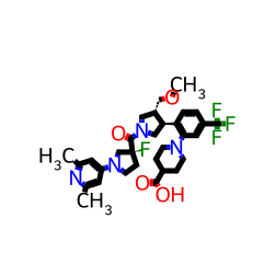 COC[C@H]1CN(C(=O)[C@@]2(F)CCN(c3cc(C)nc(C)c3)C2)C[C@@H]1c1ccc(C(F)(F)F)cc1N1CCC(C(=O)O)CC1